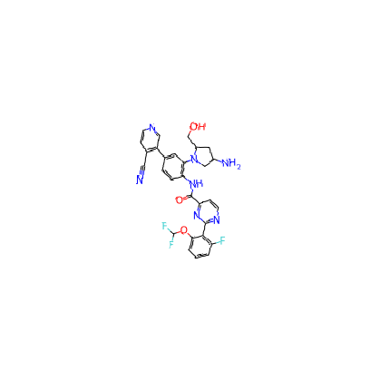 N#Cc1ccncc1-c1ccc(NC(=O)c2ccnc(-c3c(F)cccc3OC(F)F)n2)c(N2CC(N)CC2CO)c1